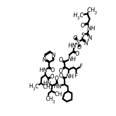 CCC(C)C(NC(=O)C(CC(C)C)NC(=O)c1cnccn1)C(=O)NC(CC1CCCCC1)C(=O)NC(CC(F)F)C(=O)C(=O)NCC(=O)NS(=O)(=O)c1nnc(NC(=O)CC(C)C)s1